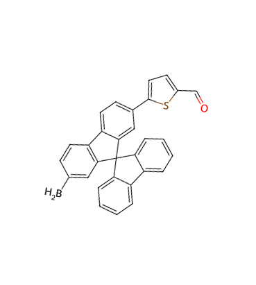 Bc1ccc2c(c1)C1(c3ccccc3-c3ccccc31)c1cc(-c3ccc(C=O)s3)ccc1-2